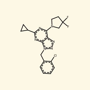 FC1(F)CCN(c2nc(C3CC3)nc3c2nnn3Cc2ccccc2Cl)C1